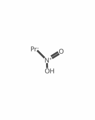 O=[N+](O)[Pr-]